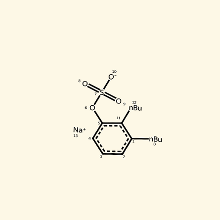 CCCCc1cccc(OS(=O)(=O)[O-])c1CCCC.[Na+]